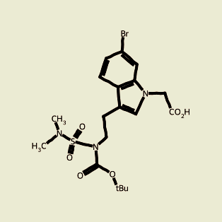 CN(C)S(=O)(=O)N(CCc1cn(CC(=O)O)c2cc(Br)ccc12)C(=O)OC(C)(C)C